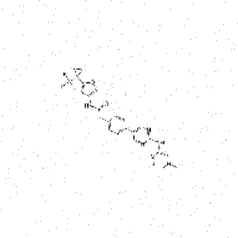 C=N/C(=C\N(C)C)Nc1ncc(-c2ccc(CC(=O)Nc3cc(C4(C(F)(F)F)CC4)on3)cc2)cn1